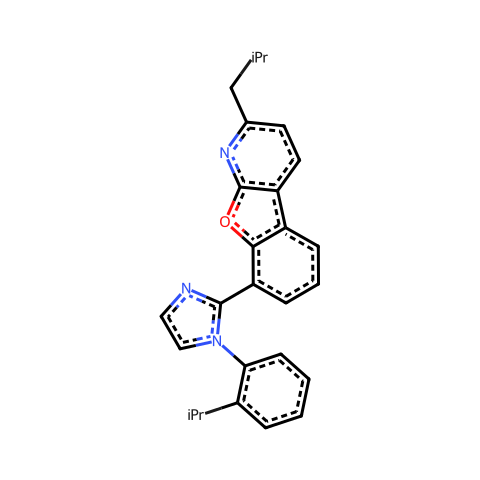 CC(C)Cc1ccc2c(n1)oc1c(-c3nccn3-c3ccccc3C(C)C)cccc12